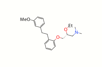 [CH2]CO[C@@H](COc1ccccc1CCc1cccc(OC)c1)CN(C)C